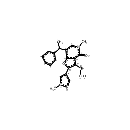 CC(c1ccccc1)c1cn(C)c(=O)c2c(NC(=O)O)c(-c3cnn(C)c3)oc12